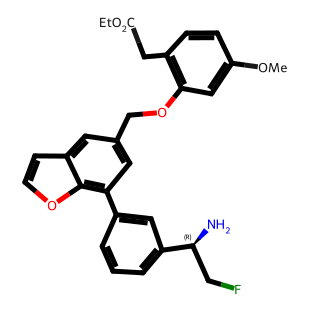 CCOC(=O)Cc1ccc(OC)cc1OCc1cc(-c2cccc([C@@H](N)CF)c2)c2occc2c1